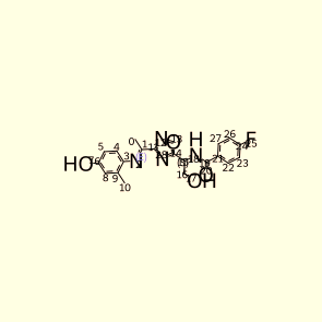 C/C(=N\c1ccc(O)cc1C)c1noc([C@H](CO)NC(=O)c2ccc(F)cc2)n1